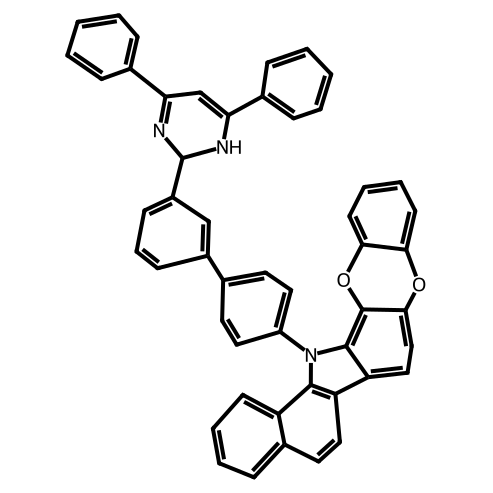 C1=C(c2ccccc2)NC(c2cccc(-c3ccc(-n4c5c6c(ccc5c5ccc7ccccc7c54)Oc4ccccc4O6)cc3)c2)N=C1c1ccccc1